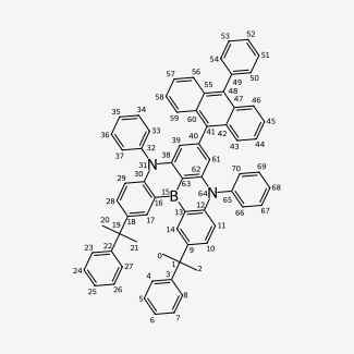 CC(C)(c1ccccc1)c1ccc2c(c1)B1c3cc(C(C)(C)c4ccccc4)ccc3N(c3ccccc3)c3cc(-c4c5ccccc5c(-c5ccccc5)c5ccccc45)cc(c31)N2c1ccccc1